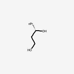 CCC[C@H](O)CCO